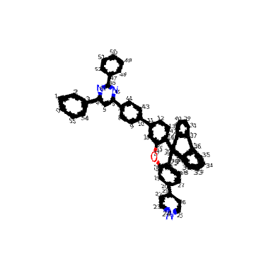 c1ccc(-c2cc(-c3ccc(-c4ccc5c(c4)Oc4cc(-c6ccncc6)ccc4C54c5ccccc5-c5ccccc54)cc3)nc(-c3ccccc3)n2)cc1